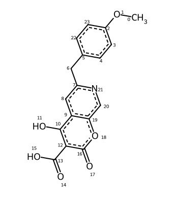 COc1ccc(Cc2cc3c(O)c(C(=O)O)c(=O)oc3cn2)cc1